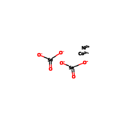 O=[Se]([O-])[O-].O=[Se]([O-])[O-].[Co+2].[Ni+2]